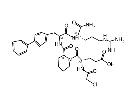 N=C(N)NCCC[C@H](NC(=O)[C@H](Cc1ccc(-c2ccccc2)cc1)NC(=O)[C@@H]1CCCCN1C(=O)[C@H](CCC(=O)O)NC(=O)CCl)C(N)=O